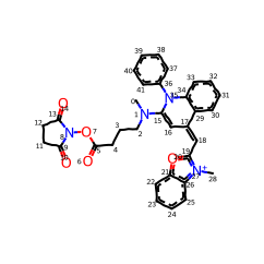 CN(CCCC(=O)ON1C(=O)CCC1=O)C1=C/C(=C\c2oc3ccccc3[n+]2C)c2ccccc2N1c1ccccc1